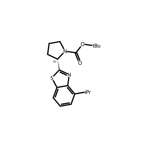 CC(C)c1cccc2sc([C@@H]3CCCN3C(=O)OC(C)(C)C)nc12